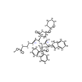 COC(=O)CCC/C=C/C[C@H]1C(=O)C[C@@H](OC2CCCCO2)[C@@H]1/C=C/[C@@H](O[Si](c1ccccc1)(c1ccccc1)C(C)(C)C)c1cc2ccccc2s1